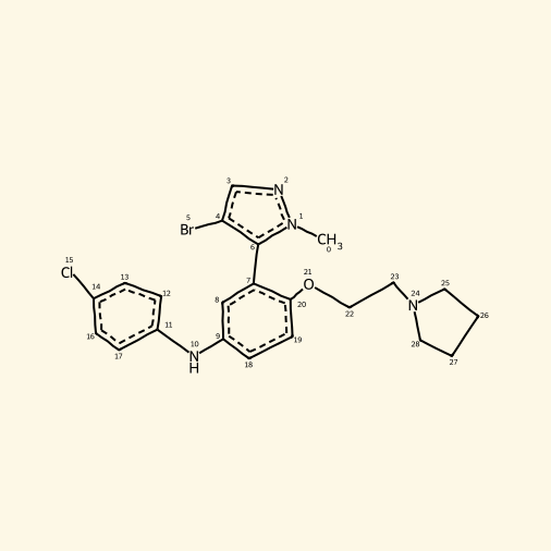 Cn1ncc(Br)c1-c1cc(Nc2ccc(Cl)cc2)ccc1OCCN1CCCC1